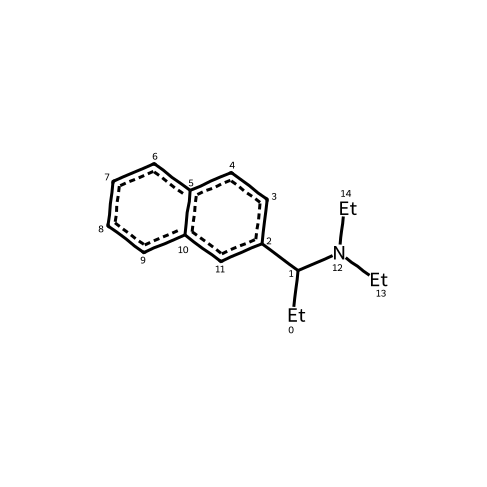 CCC(c1ccc2ccccc2c1)N(CC)CC